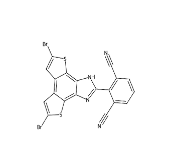 N#Cc1cccc(C#N)c1-c1nc2c([nH]1)c1sc(Br)cc1c1cc(Br)sc12